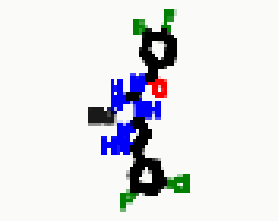 CCC(C)N/C(=N/C(=O)c1ccc(F)c(F)c1)Nc1cc(-c2cc(F)cc(Cl)c2)[nH]n1